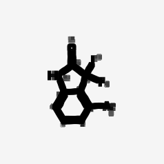 CC(=O)c1cccc2c1C(F)(F)C(=O)N2